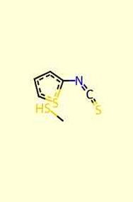 CS.S=C=Nc1cccs1